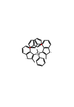 CC1=C([Si](C)(C2=C(C)[CH]c3cccc(-c4ccccc4)c32)c2ccccc2)c2c(cccc2-c2ccccc2)[CH]1